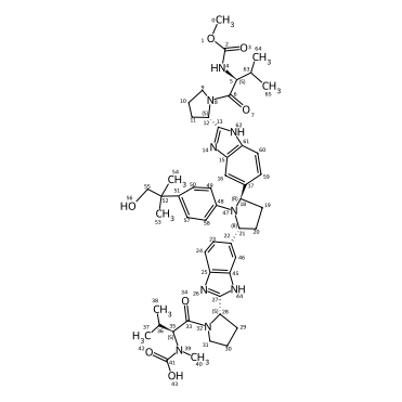 COC(=O)N[C@H](C(=O)N1CCC[C@H]1c1nc2cc([C@H]3CC[C@H](c4ccc5nc([C@@H]6CCCN6C(=O)[C@H](C(C)C)N(C)C(=O)O)[nH]c5c4)N3c3ccc(C(C)(C)CO)cc3)ccc2[nH]1)C(C)C